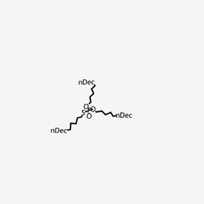 CCCCCCCCCCCCCCCOP(=O)(OCCCCCCCCCCCCCCC)SCCCCCCCCCCCCCCC